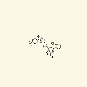 CN(CCCNc1cc(-c2ccccc2Cl)nc2c(Br)ccn12)S(=O)(=O)c1ccc(C(C)(C)C)cc1